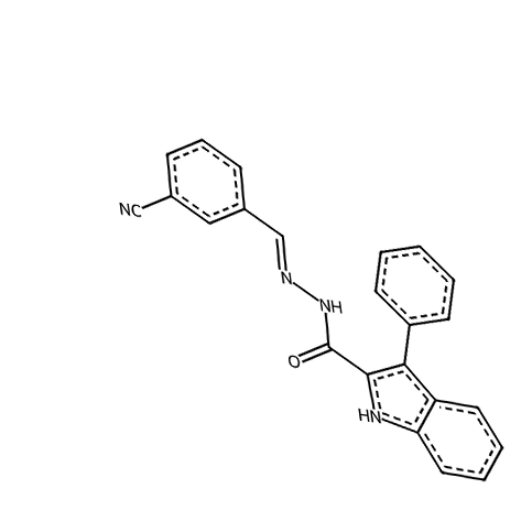 N#Cc1cccc(C=NNC(=O)c2[nH]c3ccccc3c2-c2ccccc2)c1